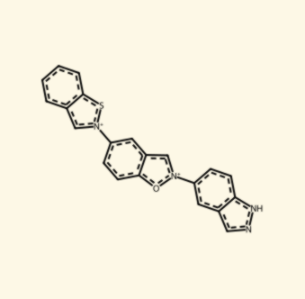 c1ccc2s[n+](-c3ccc4o[n+](-c5ccc6[nH]ncc6c5)cc4c3)cc2c1